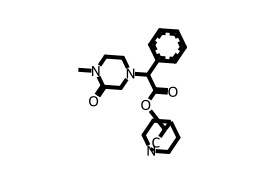 CN1CCN(C(C(=O)OC2CN3CCC2CC3)c2ccccc2)CC1=O